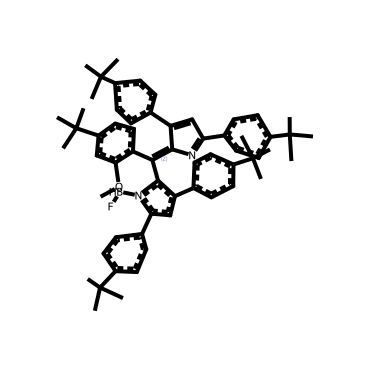 COc1cc(C(C)(C)C)ccc1/C(=C1/N=C(c2ccc(C(C)(C)C)cc2)C=C1c1ccc(C(C)(C)C)cc1)c1c(-c2ccc(C(C)(C)C)cc2)cc(-c2ccc(C(C)(C)C)cc2)n1BF